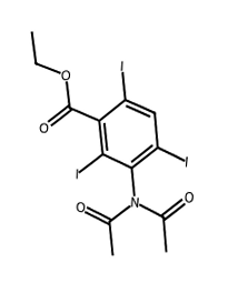 CCOC(=O)c1c(I)cc(I)c(N(C(C)=O)C(C)=O)c1I